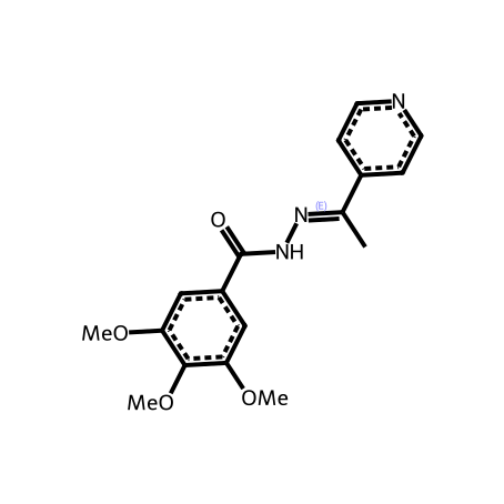 COc1cc(C(=O)N/N=C(\C)c2ccncc2)cc(OC)c1OC